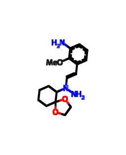 COc1c(N)cccc1/C=C/N(N)C1CCCCC12OCCO2